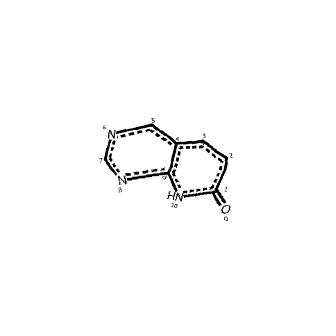 O=c1c[c]c2cncnc2[nH]1